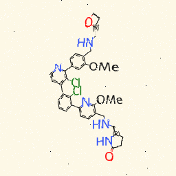 COc1cc(-c2nccc(-c3cccc(-c4ccc(CNC[C@H]5CCC(=O)N5)c(OC)n4)c3Cl)c2Cl)ccc1CNC[C@H]1CCO1